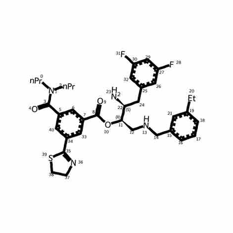 CCCN(CCC)C(=O)c1cc(C(=O)O[C@H](CNCc2cccc(CC)c2)[C@@H](N)Cc2cc(F)cc(F)c2)cc(C2=NCCS2)c1